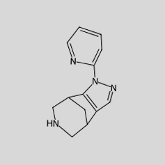 c1ccc(-n2ncc3c2C2CNCC3C2)nc1